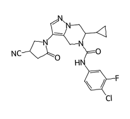 N#CC1CC(=O)N(c2cnn3c2CN(C(=O)Nc2ccc(Cl)c(F)c2)C(C2CC2)C3)C1